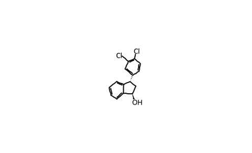 O[C@@H]1C[C@@H](c2ccc(Cl)c(Cl)c2)c2ccccc21